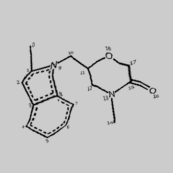 Cc1cc2ccccc2n1CC1CN(C)C(=O)CO1